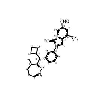 CC1CCC=NN=C1[C@@H](c1cccc(-n2cc3c(C(F)(F)F)cc(C=O)cn3c2=O)c1)C1CCC1